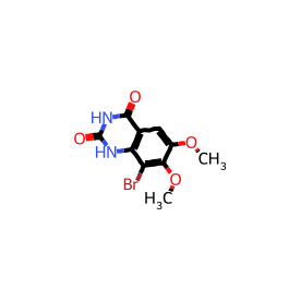 COc1cc2c(=O)[nH]c(=O)[nH]c2c(Br)c1OC